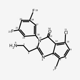 NCCc1nc2c(F)ccc(Cl)c2c(=O)n1-c1cc(F)cc(F)c1